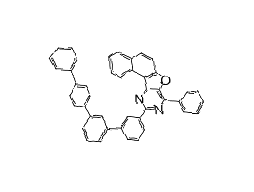 c1ccc(-c2ccc(-c3cccc(-c4cccc(-c5nc(-c6ccccc6)c6oc7ccc8ccccc8c7c6n5)c4)c3)cc2)cc1